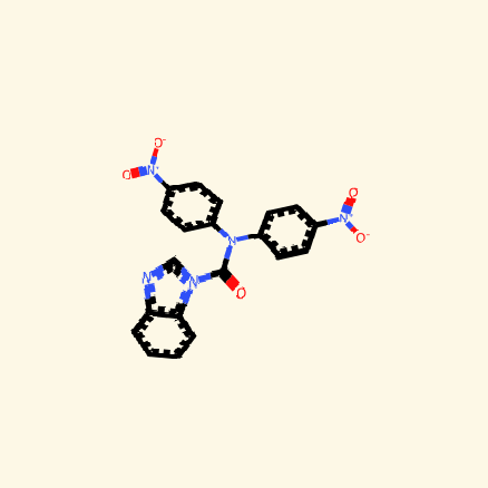 O=C(N(c1ccc([N+](=O)[O-])cc1)c1ccc([N+](=O)[O-])cc1)n1cnc2ccccc21